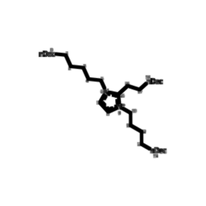 CCCCCCCCCCCCCCCn1cc[n+](CCCCCCCCCCCCCC)c1CCCCCCCCCCCC